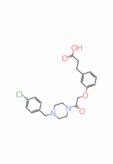 O=C(O)CCc1cccc(OCC(=O)N2CCN(Cc3ccc(Cl)cc3)CC2)c1